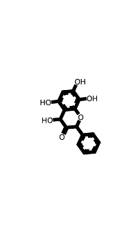 O=C1C(O)c2c(O)cc(O)c(O)c2OC1c1ccccc1